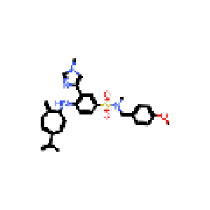 C=C(C)C1=CCC(=C)C(Nc2ccc(S(=O)(=O)N(C)Cc3ccc(OC)cc3)cc2-c2cn(C)cn2)C=C1